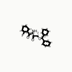 NN(C(=O)COC(c1ccccc1)c1ccccc1)C(=O)c1[c]cccc1F